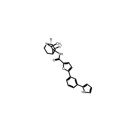 C[C@H]1[C@H](NC(=O)c2ccc(-c3cccc(-c4ccc[nH]4)c3)o2)C2CCN1CC2